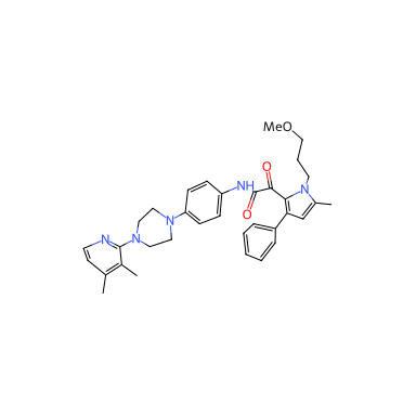 COCCCn1c(C)cc(-c2ccccc2)c1C(=O)C(=O)Nc1ccc(N2CCN(c3nccc(C)c3C)CC2)cc1